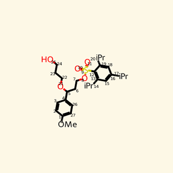 COc1ccc(C(CCOS(=O)(=O)c2c(C(C)C)cc(C(C)C)cc2C(C)C)OCCCO)cc1